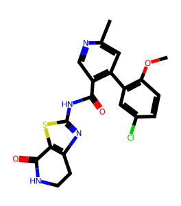 COc1ccc(Cl)cc1-c1cc(C)ncc1C(=O)Nc1nc2c(s1)C(=O)NCC2